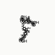 CCC1c2cc(C=C/C=c3\s/c(=C4/SC(=S)N(CC(C)(CC)CC(C)(CC)C(=O)O)C4=O)n(CC(=O)O)c3=O)ccc2N(c2ccc(SC(C)(CC)CC(C)(CC)C(=O)O)cc2)C1CC